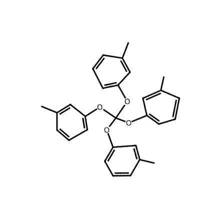 Cc1cccc(OC(Oc2cccc(C)c2)(Oc2cccc(C)c2)Oc2cccc(C)c2)c1